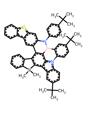 CC(C)(C)c1ccc(N2B3c4cc(C(C)(C)C)ccc4-n4c5ccc(C(C)(C)C)cc5c5c6c(c(c3c54)-c3cc4c(cc32)sc2ccccc24)-c2ccccc2[Si]6(C)C)cc1